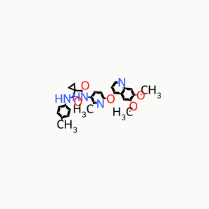 COc1cc2nccc(Oc3ccc(NC(=O)C4(C(=O)Nc5ccc(C)cc5)CC4)c(C)n3)c2cc1OC